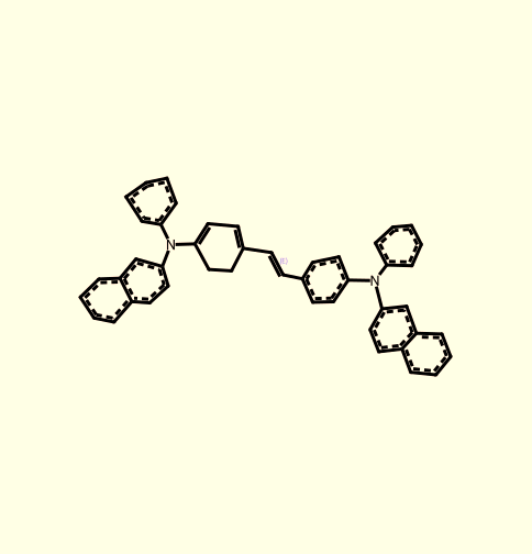 C1=C(/C=C/c2ccc(N(c3ccccc3)c3ccc4ccccc4c3)cc2)CCC(N(c2ccccc2)c2ccc3ccccc3c2)=C1